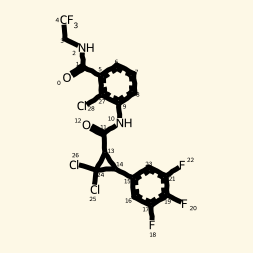 O=C(NCC(F)(F)F)c1cccc(NC(=O)C2C(c3cc(F)c(F)c(F)c3)C2(Cl)Cl)c1Cl